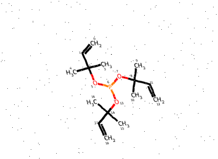 C=CC(C)(C)OP(OC(C)(C)C=C)OC(C)(C)C=C